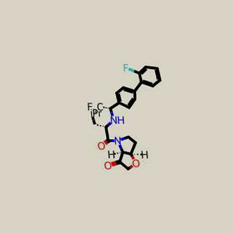 CC(C)C[C@H](N[C@@H](c1ccc(-c2ccccc2F)cc1)C(F)(F)F)C(=O)N1CC[C@H]2OCC(=O)[C@H]21